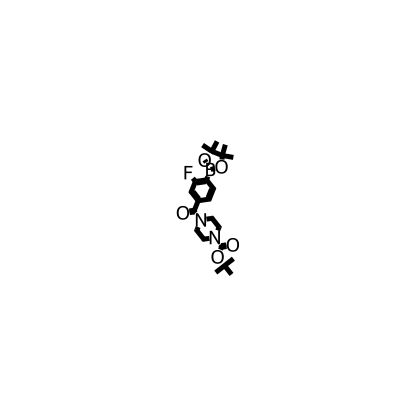 CC(C)(C)OC(=O)N1CCN(C(=O)c2ccc(B3OC(C)(C)C(C)(C)O3)c(F)c2)CC1